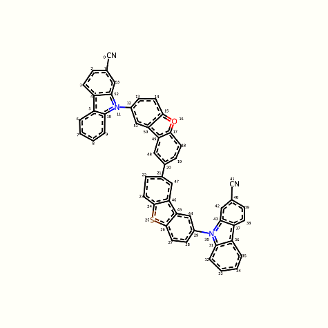 N#Cc1ccc2c3ccccc3n(-c3ccc4oc5ccc(-c6ccc7sc8ccc(-n9c%10ccccc%10c%10ccc(C#N)cc%109)cc8c7c6)cc5c4c3)c2c1